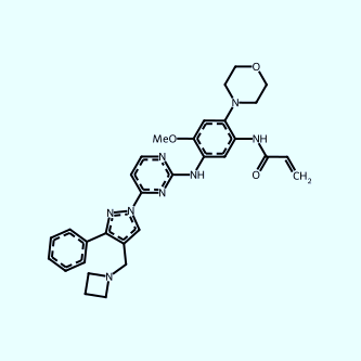 C=CC(=O)Nc1cc(Nc2nccc(-n3cc(CN4CCC4)c(-c4ccccc4)n3)n2)c(OC)cc1N1CCOCC1